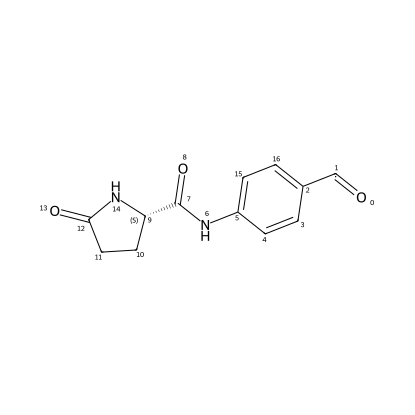 O=[C]c1ccc(NC(=O)[C@@H]2CCC(=O)N2)cc1